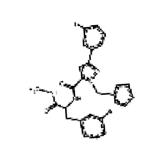 CNC(=O)C(Cc1cccc(Br)c1)NC(=O)c1cc(-c2cccc(F)c2)nn1Cc1ccccc1